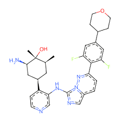 C[C@H]1C[C@@H](c2ccncc2Nc2ncc3ccc(-c4c(F)cc(C5CCOCC5)cc4F)nn23)C[C@@H](N)[C@]1(C)O